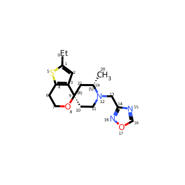 CCc1cc2c(s1)CCO[C@@]21CCN(Cc2ncon2)[C@@H](C)C1